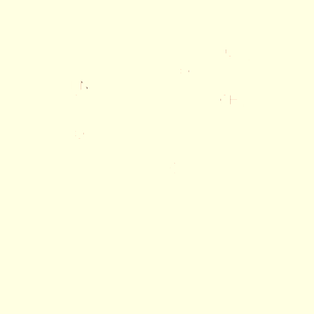 CC(C)Oc1cc(OCc2ccccc2F)cc(C(N)O)c1